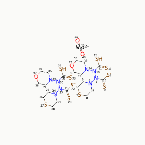 S=C([S-])N(N1CCSCC1)N(C(=S)S)N1CCOCC1.S=C([S-])N(N1CCSCC1)N(C(=S)S)N1CCOCC1.[O]=[Mo+2]=[O]